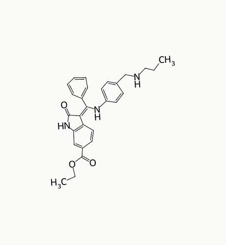 CCCNCc1ccc(N/C(=C2/C(=O)Nc3cc(C(=O)OCC)ccc32)c2ccccc2)cc1